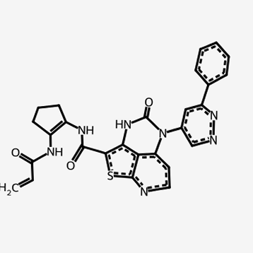 C=CC(=O)NC1=C(NC(=O)c2sc3nccc4c3c2NC(=O)N4c2cnnc(-c3ccccc3)c2)CCC1